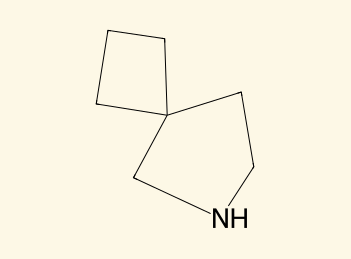 C1CC2(C1)CCNC2